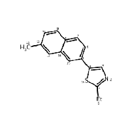 CCc1ncc(-c2ccc3ccc(C)cc3c2)s1